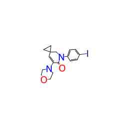 O=C1C(N2CCOCC2)=CC2(CC2)CN1c1ccc(I)cc1